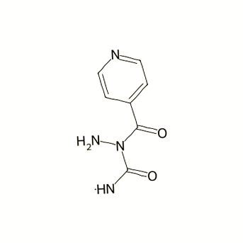 [NH]C(=O)N(N)C(=O)c1ccncc1